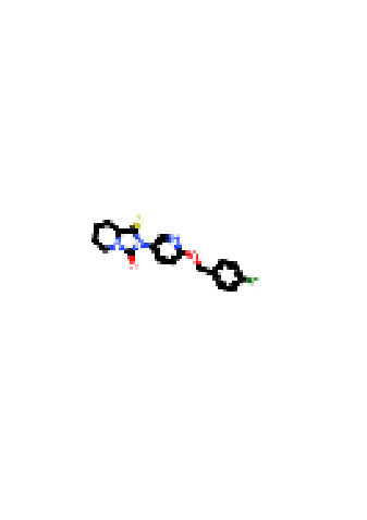 O=C1N(c2ccc(OCc3ccc(Cl)cc3)nc2)C(=S)C2CCCCN12